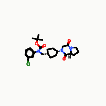 CC(C)(C)OC(=O)N(C[C@H]1CC[C@@H](N2CC(=O)N3CCC[C@H]3C2=O)CC1)c1cccc(Cl)c1